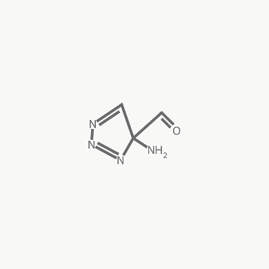 NC1(C=O)C=NN=N1